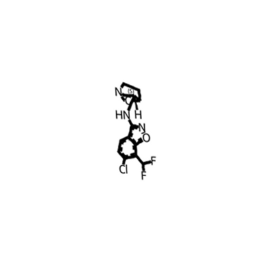 FC(F)c1c(Cl)ccc2c(N[C@@H]3CN4CCC3CC4)noc12